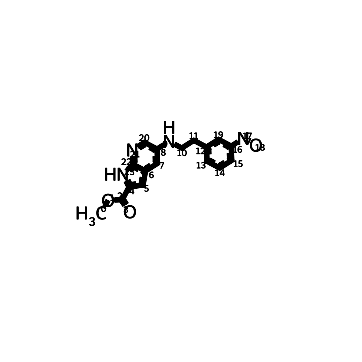 COC(=O)c1cc2cc(NCCc3cccc(N=O)c3)cnc2[nH]1